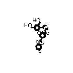 COc1cc(CO)cc(CO)c1-c1cncn1-c1ccc(-c2nc3ccc(F)cc3s2)cc1